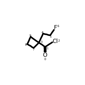 O=C(Cl)C1(CCF)CCC1